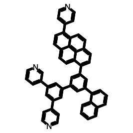 c1cncc(-c2cc(-c3ccncc3)cc(-c3cc(-c4cccc5ccccc45)cc(-c4ccc5ccc6c(-c7ccncc7)ccc7ccc4c5c76)c3)c2)c1